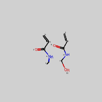 C=CC(=O)NC.C=CC(=O)NCO